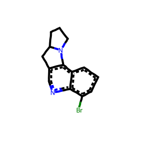 Brc1cccc2c3c(cnc12)CC1CCCN31